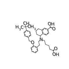 CC(C)(C)c1ccc(COc2ccccc2CCN(CCCCC(=O)O)C2CCCc3cc(C(=O)O)ccc32)cc1